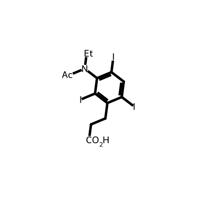 CCN(C(C)=O)c1c(I)cc(I)c(CCC(=O)O)c1I